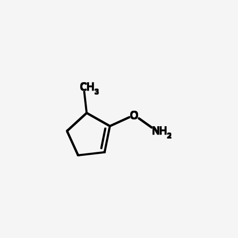 CC1CCC=C1ON